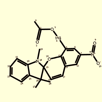 CC(=O)[O][Hg][c]1cc([N+](=O)[O-])cc2c1OC1(C=C2)N(C)c2ccccc2C1(C)C